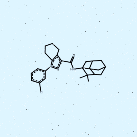 CC1(C)C2CC3CC(C2)CC1(NC(=O)c1nn(-c2cccc(Cl)c2)c2c1CCCC2)C3